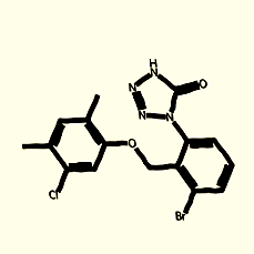 Cc1cc(C)c(OCc2c(Br)cccc2-n2nn[nH]c2=O)cc1Cl